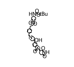 CC(C)(C)OC(=O)NC1CCN(S(=O)(=O)CCc2ccc(CN3CCC(O)(c4ccc5c(c4)CN(C4CCC(=O)NC4=O)C5=O)CC3)cc2)CC1